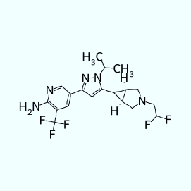 CC(C)n1nc(-c2cnc(N)c(C(F)(F)F)c2)cc1C1[C@H]2CN(CC(F)F)C[C@@H]12